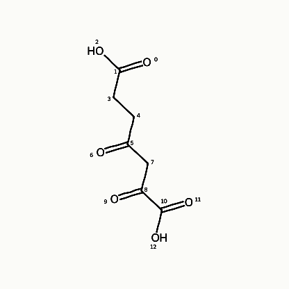 O=C(O)CCC(=O)CC(=O)C(=O)O